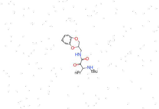 CCCC(NC(C)(C)C)C(=O)C(=O)NCC1COc2ccccc2O1